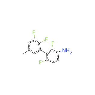 Cc1cc(F)c(F)c(-c2c(F)ccc(N)c2F)c1